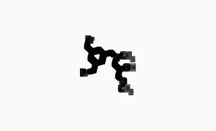 COCC(O)CN(C)Cc1cc(CBr)cc(CBr)c1